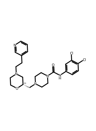 O=C(Nc1ccc(Cl)c(Cl)c1)N1CCN(C[C@H]2CN(CCc3cccnc3)CCO2)CC1